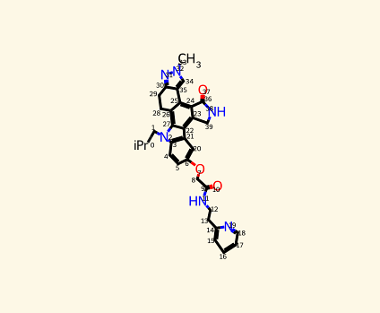 CC(C)Cn1c2ccc(OCC(=O)NCCc3ccccn3)cc2c2c3c(c4c(c21)CCc1nn(C)cc1-4)C(=O)NC3